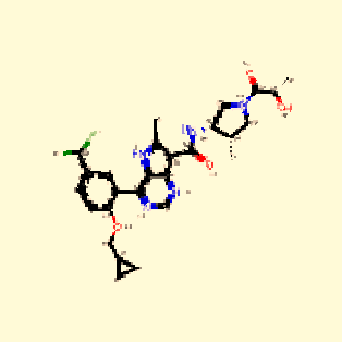 Cc1[nH]c2c(-c3cc(C(F)F)ccc3OCC3CC3)ncnc2c1C(=O)N[C@@H]1CN(C(=O)[C@H](C)O)C[C@@H]1C